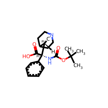 CC(C)(C)OC(=O)N[C@@](C(=O)O)(c1ccccc1)[C@H]1CN2CCC1CC2